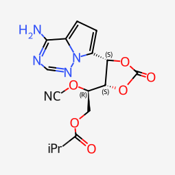 CC(C)C(=O)OC[C@@H](OC#N)[C@H]1OC(=O)O[C@H]1c1ccc2c(N)ncnn12